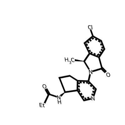 CCC(=O)N[C@H]1CCc2c1cncc2N1C(=O)c2ccc(Cl)cc2[C@@H]1C